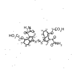 Cc1c(C(=O)C(N)=O)c2c(OCC(=O)O)cccc2n1CSCn1c(C)c(C(=O)C(N)=O)c2c(OCC(=O)O)cccc21